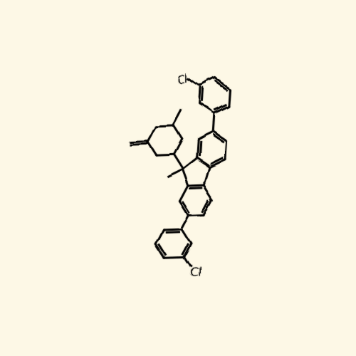 C=C1CC(C)CC(C2(C)c3cc(-c4cccc(Cl)c4)ccc3-c3ccc(-c4cccc(Cl)c4)cc32)C1